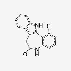 O=C1Cc2c([nH]c3ccccc23)-c2c(Cl)cccc2N1